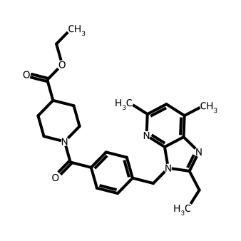 CCOC(=O)C1CCN(C(=O)c2ccc(Cn3c(CC)nc4c(C)cc(C)nc43)cc2)CC1